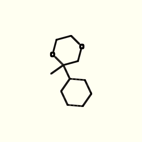 CC1(C2CCCCC2)COCCO1